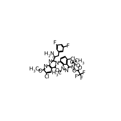 COc1nc2nc([C@@H](N)Cc3cc(F)cc(F)c3)n(-c3ccc(Cl)c4c(N(OC(=O)C(F)(F)F)S(C)(=O)=O)nn(C)c34)c(=O)c2cc1Cl